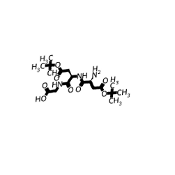 CC(C)(C)OC(=O)C[C@@H](N)C(=O)N[C@H](CC(=O)OC(C)(C)C)C(=O)NCC(=O)O